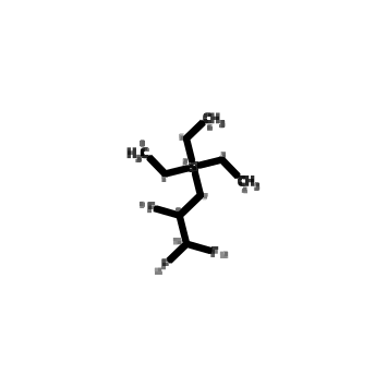 CC[Si](CC)(CC)CC(F)C(F)F